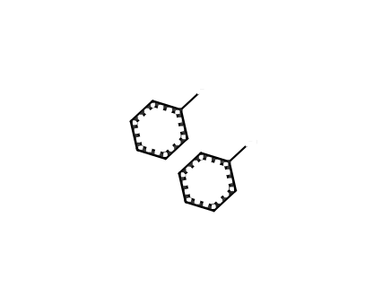 CCc1ccccc1.Fc1ccccc1